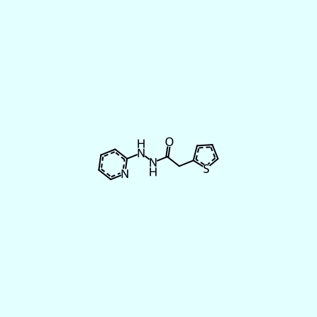 O=C(Cc1cccs1)NNc1ccccn1